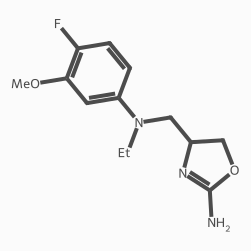 CCN(CC1COC(N)=N1)c1ccc(F)c(OC)c1